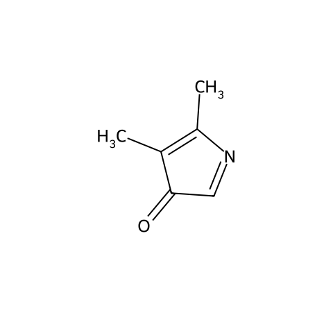 CC1=C(C)C(=O)C=N1